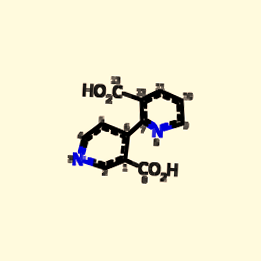 O=C(O)c1cnccc1-c1ncccc1C(=O)O